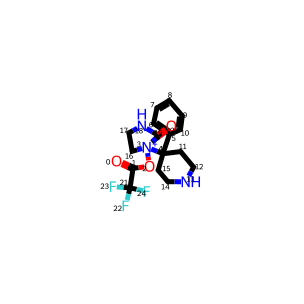 O=C(O[N+]1(C2(c3ccccc3)CCNCC2)CCNC1=O)C(F)(F)F